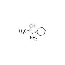 CC(O)C(N)N1CCCCC1